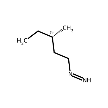 CC[C@H](C)CCN=N